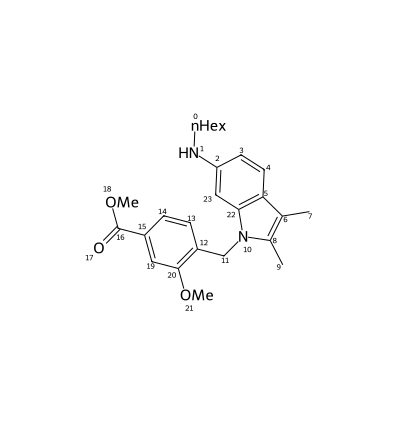 CCCCCCNc1ccc2c(C)c(C)n(Cc3ccc(C(=O)OC)cc3OC)c2c1